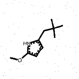 COc1ccc(CC(C)(C)C)[nH]1